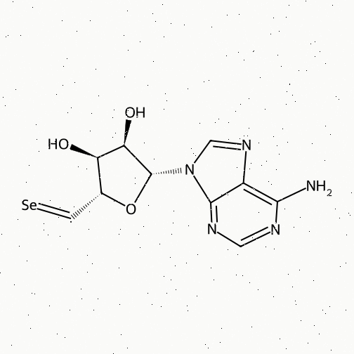 Nc1ncnc2c1ncn2[C@@H]1O[C@H]([C]=[Se])[C@@H](O)[C@H]1O